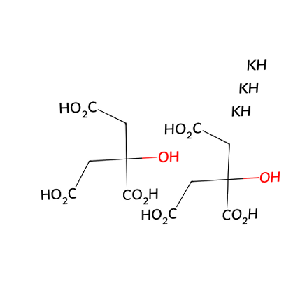 O=C(O)CC(O)(CC(=O)O)C(=O)O.O=C(O)CC(O)(CC(=O)O)C(=O)O.[KH].[KH].[KH]